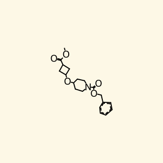 COC(=O)C1CC(OC2CCN(C(=O)OCc3ccccc3)CC2)C1